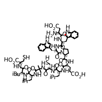 CC[C@H](C)[C@H](NC(=O)[C@H](CC(C)C)NC(=O)C(C)(C)NC(=O)[C@H](CS)NC(=O)[C@H](CC(C)C)NC(=O)[C@H](CCC(=O)O)NC(=O)[C@@H]1CCCN1C(=O)[C@H](Cc1c[nH]c2ccccc12)NC(=O)[C@H](Cc1c[nH]c2ccccc12)NC(=O)[C@@H](N)CC(=O)O)C(=O)N[C@@H](CS)C(=O)O